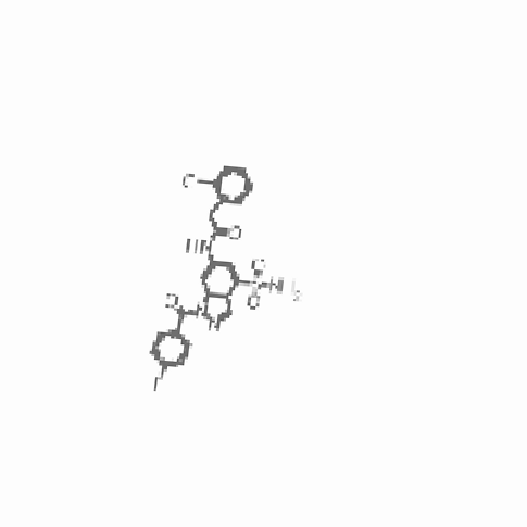 NS(=O)(=O)C1=CC(NC(=O)Cc2ccccc2Cl)=CC2C1C=NN2C(=O)c1ccc(F)cc1